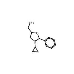 OCC1CN(C2CC2)C(c2ccccc2)O1